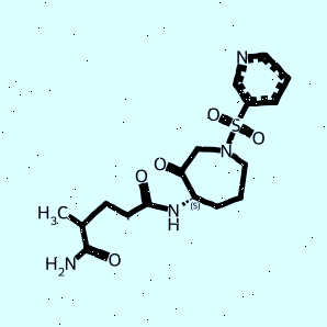 CC(C[CH]C(=O)N[C@H]1CCCN(S(=O)(=O)c2cccnc2)CC1=O)C(N)=O